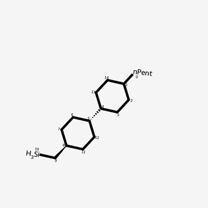 CCCCCC1CCC([C@H]2CC[C@H](C[SiH3])CC2)CC1